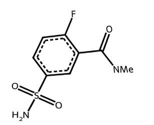 CNC(=O)c1cc(S(N)(=O)=O)ccc1F